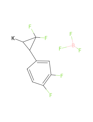 FB(F)F.Fc1ccc(C2[CH]([K])C2(F)F)cc1F